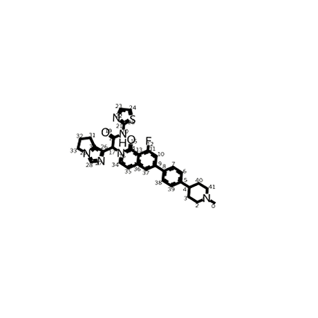 CN1CCC(c2ccc(-c3cc(F)c4c(=O)n(C(C(=O)Nc5nccs5)c5ncn6c5CCC6)ccc4c3)cc2)CC1